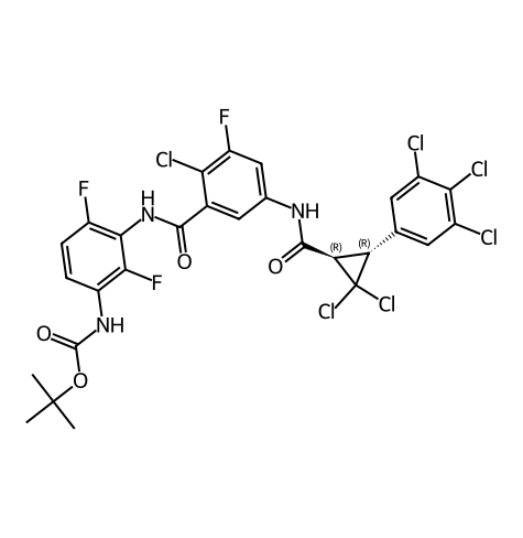 CC(C)(C)OC(=O)Nc1ccc(F)c(NC(=O)c2cc(NC(=O)[C@H]3[C@H](c4cc(Cl)c(Cl)c(Cl)c4)C3(Cl)Cl)cc(F)c2Cl)c1F